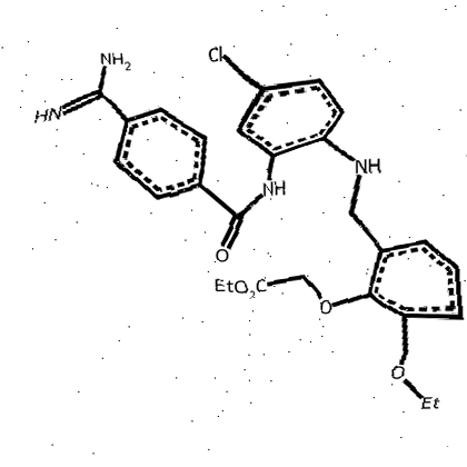 CCOC(=O)COc1c(CNc2ccc(Cl)cc2NC(=O)c2ccc(C(=N)N)cc2)cccc1OCC